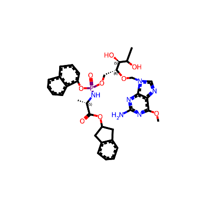 COc1nc(N)nc2c1ncn2CO[C@H](COP(=O)(N[C@@H](C)C(=O)OC1Cc2ccccc2C1)Oc1cccc2ccccc12)[C@@H](O)C(C)O